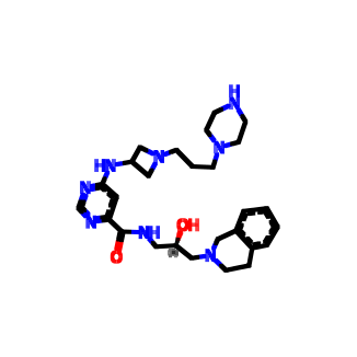 O=C(NC[C@@H](O)CN1CCc2ccccc2C1)c1cc(NC2CN(CCCN3CCNCC3)C2)ncn1